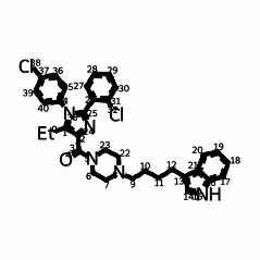 CCc1c(C(=O)N2CCN(CCCCc3c[nH]c4ccccc34)CC2)nc(-c2ccccc2Cl)n1-c1ccc(Cl)cc1